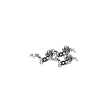 C#CCOc1cc(-c2nn(C)c(S(C)(=O)=O)c2Br)c(F)cc1Cl.C#CCOc1cc(-c2nn(C)c(S(C)(=O)=O)c2Cl)c(F)cc1Cl.COCCOc1cc(-c2nn(C)c(S(C)(=O)=O)c2Cl)c(F)cc1Cl